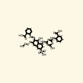 O=C(O)c1ccccc1/N=N/c1c(SOOO)cc2cc(S(=O)(=O)O)cc(Nc3nc(O)nc(Nc4ccccc4C(=O)O)n3)c2c1O